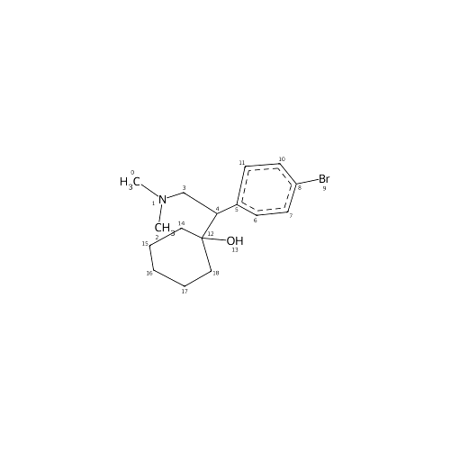 CN(C)CC(c1ccc(Br)cc1)C1(O)CCCCC1